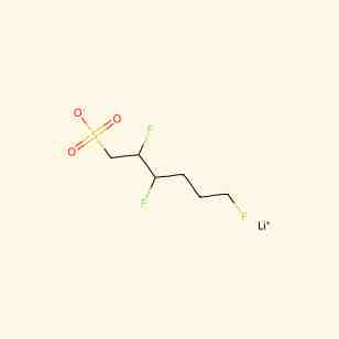 O=S(=O)([O-])CC(F)C(F)CCCF.[Li+]